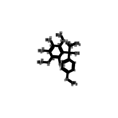 COc1ccc(C(O)(c2c(C)c(OC)c(C)c(C)c2OC)C(C)C)cc1